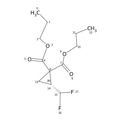 CCCOC(=O)C1(C(=O)OCCC)C[C@H]1C(F)F